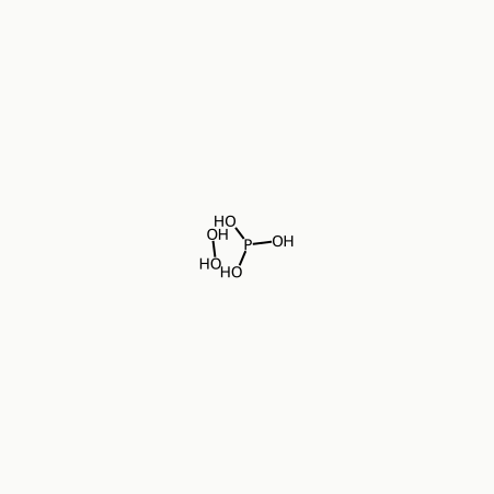 OO.OP(O)O